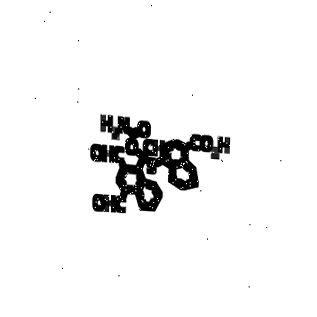 CC(OC(N)=O)(Sc1ccc(C(=O)O)c2ccccc12)c1c(C=O)cc(C=O)c2ccccc12